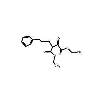 CCOC(=O)C(=O)C(CCCc1ccccc1)C(=O)OCC